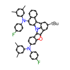 Cc1cc(C)cc(N(c2ccc(F)cc2)c2ccc3c(c2)oc2c4cc(C(C)(C)C)cc5c6c7ccccc7c(N(c7ccc(F)cc7)c7cc(C)cc(C)c7)cc6n(c45)c32)c1